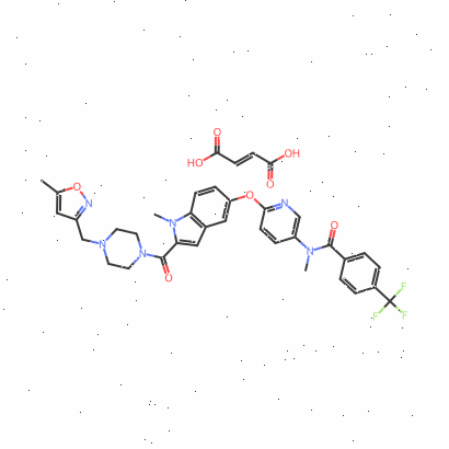 Cc1cc(CN2CCN(C(=O)c3cc4cc(Oc5ccc(N(C)C(=O)c6ccc(C(F)(F)F)cc6)cn5)ccc4n3C)CC2)no1.O=C(O)C=CC(=O)O